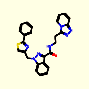 O=C(NCCc1nnc2ccccn12)c1nn(Cc2csc(-c3ccccc3)n2)c2ccccc12